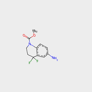 CC(C)(C)OC(=O)N1CCC(F)(F)c2cc(N)ccc21